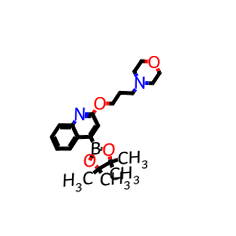 CC1(C)OB(c2cc(OCCCN3CCOCC3)nc3ccccc23)OC1(C)C